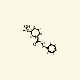 O=C(OCc1ccccc1)N1CCCC(NO)C1